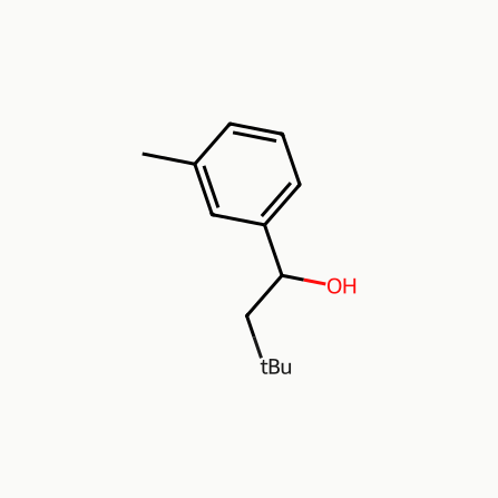 Cc1cccc(C(O)CC(C)(C)C)c1